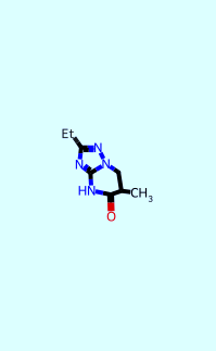 CCc1nc2n(n1)CC(C)C(=O)N2